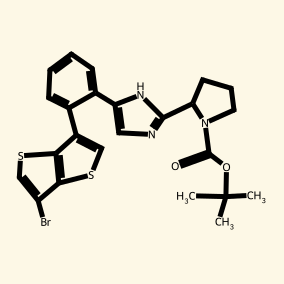 CC(C)(C)OC(=O)N1CCCC1c1ncc(-c2ccccc2-c2csc3c(Br)csc23)[nH]1